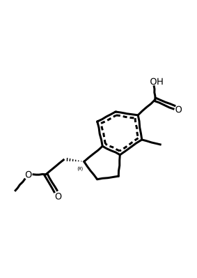 COC(=O)C[C@H]1CCc2c1ccc(C(=O)O)c2C